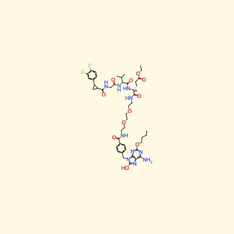 CCCCOc1nc(N)c2nc(O)n(Cc3ccc(C(=O)NCCOCCOCCNC(=O)[C@@H](CCC(=O)OCC)NC(=O)C(NC(=O)CNC(=O)C4CC4c4ccc(F)c(F)c4)C(C)C)cc3)c2n1